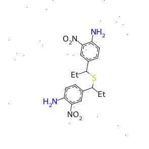 CCC(SC(CC)c1ccc(N)c([N+](=O)[O-])c1)c1ccc(N)c([N+](=O)[O-])c1